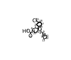 O=C(O)N1CCC(OCCN2CCCC2)(c2cccc(Cl)c2)CC1